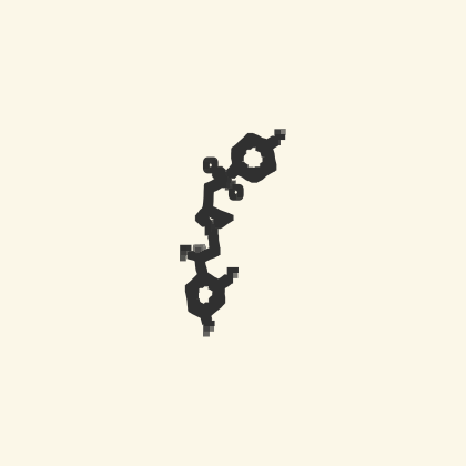 O=S(=O)(CC1CN(C[C@H](F)c2ccc(F)cc2F)C1)c1ccc(F)cc1